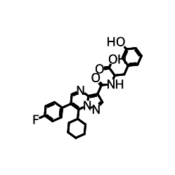 O=C(NC(Cc1cccc(O)c1)C(=O)O)c1cnn2c(C3CCCCC3)c(-c3ccc(F)cc3)cnc12